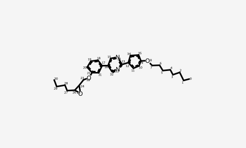 CCCCCCCCOc1ccc(-c2ncc(-c3cccc(OCC4OC4CCCC)c3)cn2)cc1